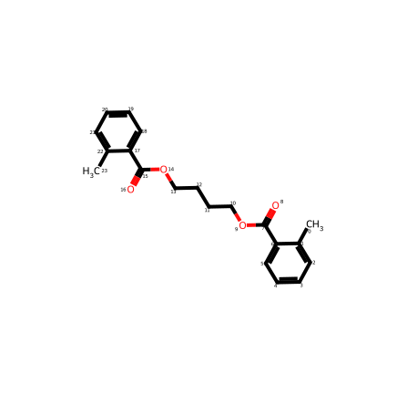 Cc1ccccc1C(=O)OCCCCOC(=O)c1ccccc1C